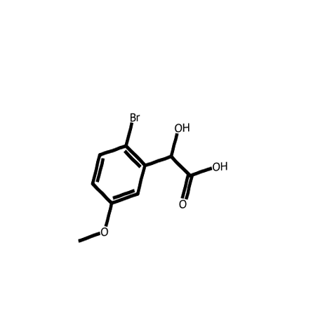 COc1ccc(Br)c(C(O)C(=O)O)c1